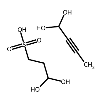 CC#CC(O)O.O=S(=O)(O)CCC(O)O